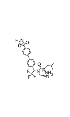 CC(C)C[C@H](N)C(=O)N(CC#N)C(c1ccc(-c2ccc(S(N)(=O)=O)cc2)cc1)C(F)(F)F